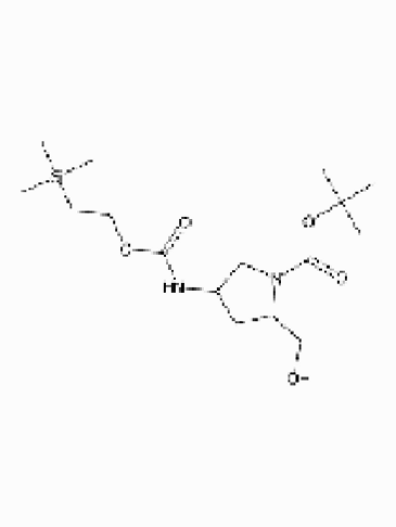 CC(C)(C)OC(=O)N1CC(NC(=O)OCC[Si](C)(C)C)CC1CO